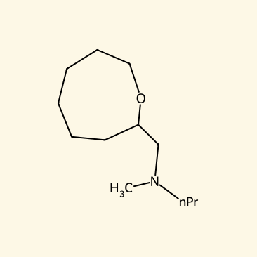 CCCN(C)CC1CCCCCCO1